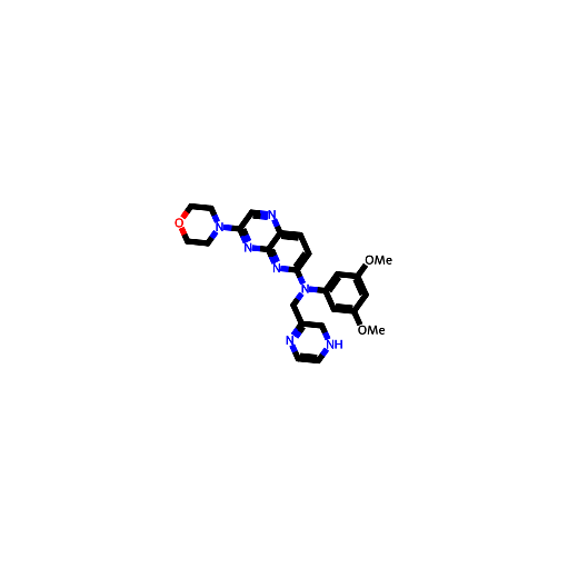 COc1cc(OC)cc(N(CC2=NC=CNC2)c2ccc3ncc(N4CCOCC4)nc3n2)c1